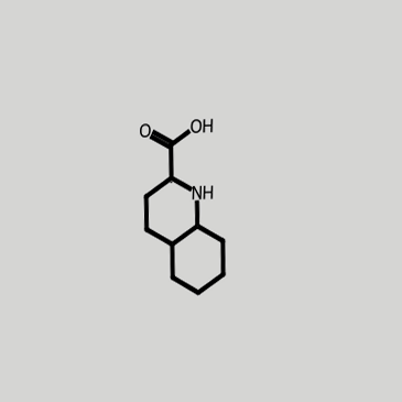 O=C(O)[C]1CCC2CCCCC2N1